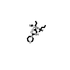 CCCC(F)(F)C[C@H](NC(=O)N1CCCOCC1)C(=O)N[C@H](C#N)CC